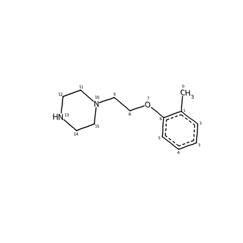 Cc1ccccc1OCCN1CCNCC1